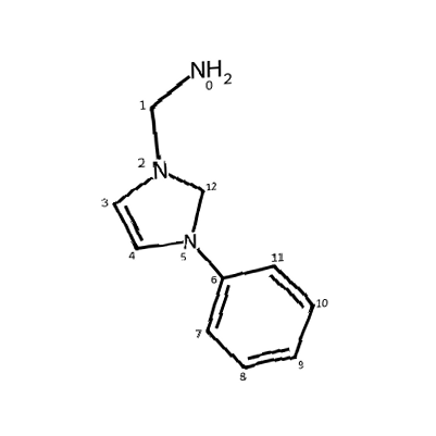 NCN1C=CN(c2ccccc2)C1